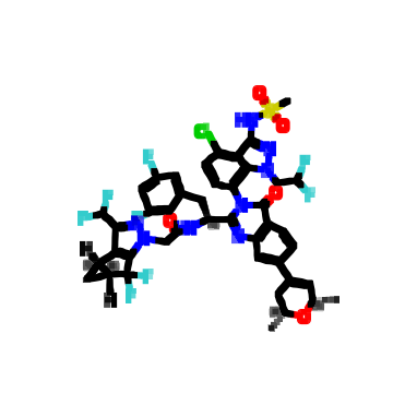 C[C@@H]1CC(c2ccc3c(=O)n(-c4ccc(Cl)c5c(NS(C)(=O)=O)nn(CC(F)F)c45)c([C@H](Cc4cc(F)cc(F)c4)NC(=O)Cn4nc(C(F)F)c5c4C(F)(F)[C@@H]4C[C@H]54)nc3c2)=C[C@H](C)O1